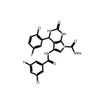 CNC(=O)n1cc(NC(=O)c2cc(F)cc(Cl)c2)c2c1NC(=O)NC2c1cc(F)ccc1Cl